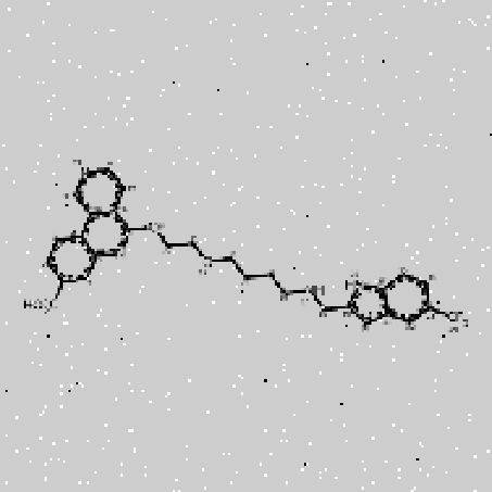 O=C(O)c1ccc2c(c1)nc(OCCOCCCCNCc1cc3cc(C(F)(F)F)ccc3[nH]1)c1ccncc12